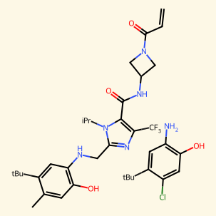 C=CC(=O)N1CC(NC(=O)c2c(C(F)(F)F)nc(CNc3cc(C(C)(C)C)c(C)cc3O)n2C(C)C)C1.CC(C)(C)c1cc(N)c(O)cc1Cl